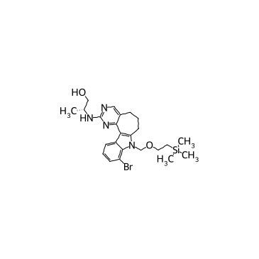 C[C@H](CO)Nc1ncc2c(n1)-c1c(n(COCC[Si](C)(C)C)c3c(Br)cccc13)CCC2